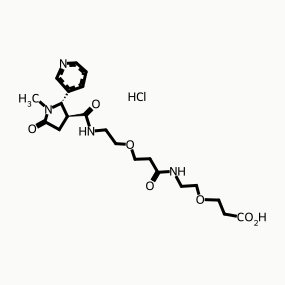 CN1C(=O)C[C@H](C(=O)NCCOCCC(=O)NCCOCCC(=O)O)[C@H]1c1cccnc1.Cl